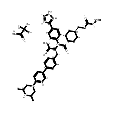 CC1CN(c2ccc(-c3ccc(C[C@@H](C(N)=O)N(c4ccc(-c5nn[nH]n5)cc4)C(=O)[C@H]4CC[C@H](CNC(=O)OC(C)(C)C)CC4)cc3)cn2)CC(C)O1.O=C(O)C(F)(F)F